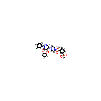 Cc1ccc(S(C)(=O)=O)cc1S(=O)(=O)N1CCN(c2cnn(-c3cccc(Cl)c3)c(=O)c2OC2CCCC2)CC1